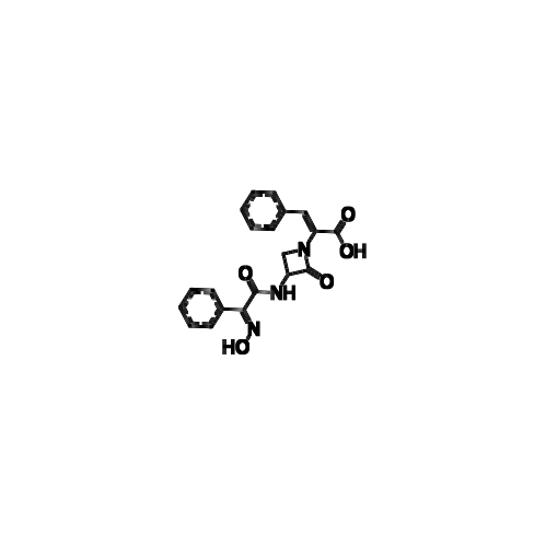 O=C(O)C(=Cc1ccccc1)N1CC(NC(=O)C(=NO)c2ccccc2)C1=O